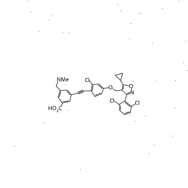 CNCc1cc(C#Cc2ccc(OCc3c(-c4c(Cl)cccc4Cl)noc3C3CC3)cc2Cl)cc(C(=O)O)c1